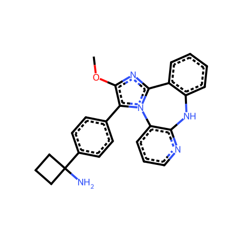 COc1nc2n(c1-c1ccc(C3(N)CCC3)cc1)-c1cccnc1Nc1ccccc1-2